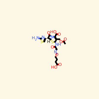 CC(=O)OCC1=C(C(=O)O)N2C(=O)[C@@H](c3csc(N)n3)[C@H]2SC1NC(=O)/C=N/OCCCC(=O)O